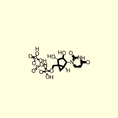 O=c1ccn([C@H]2C(O)[C@@H](O)C3(COP(=O)(O)OP(=O)(O)OP(=O)(O)O)C[C@H]23)c(=O)[nH]1